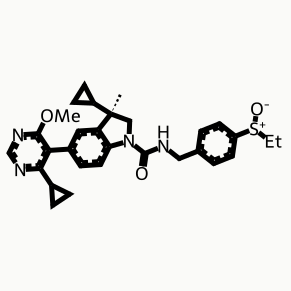 CC[S+]([O-])c1ccc(CNC(=O)N2C[C@](C)(C3CC3)c3cc(-c4c(OC)ncnc4C4CC4)ccc32)cc1